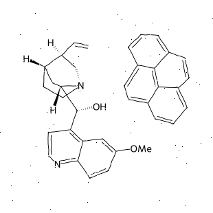 C=C[C@H]1C[N@]2CC[C@H]1C[C@H]2[C@H](O)c1ccnc2ccc(OC)cc12.c1cc2ccc3cccc4ccc(c1)c2c34